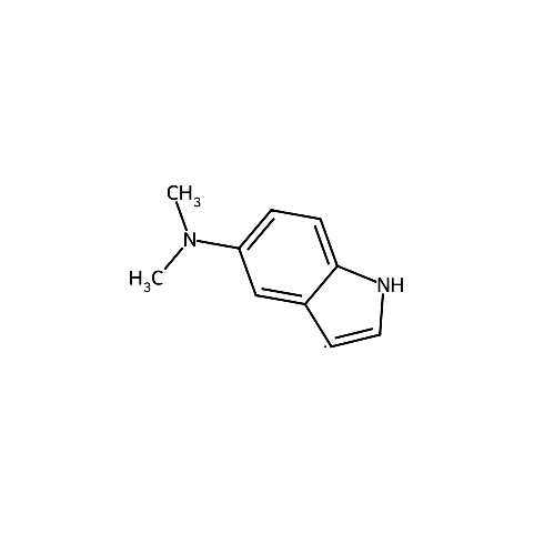 CN(C)c1ccc2[nH]c[c]c2c1